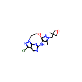 Cc1c2c(nn1CC1(C)COC1)OCCCn1nc(Cl)c3cnc(nc31)N2